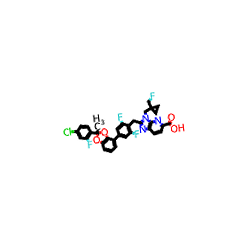 CC1(c2ccc(Cl)cc2F)Oc2cccc(-c3cc(F)c(Cc4nc5ccc(C(=O)O)nc5n4CC4(CF)CC4)c(F)c3)c2O1